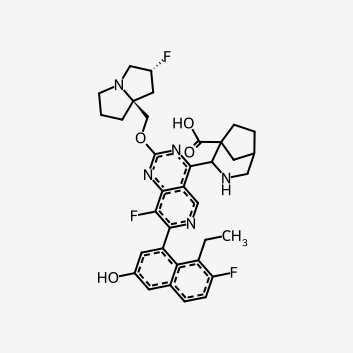 CCc1c(F)ccc2cc(O)cc(-c3ncc4c(C5NCC6CCC5(C(=O)O)C6)nc(OC[C@@]56CCCN5C[C@H](F)C6)nc4c3F)c12